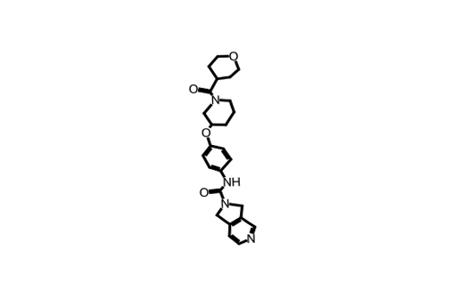 O=C(Nc1ccc(OC2CCCN(C(=O)C3CCOCC3)C2)cc1)N1Cc2ccncc2C1